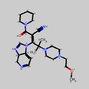 COCCN1CCN(C(C)(C)C(=C(C#N)C(=O)N2CCCCC2)N2C=NC3CN=CC=C32)CC1